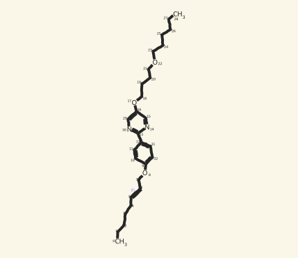 CCCCC/C=C/COc1ccc(-c2ncc(OCCCCOCCCCCC)cn2)cc1